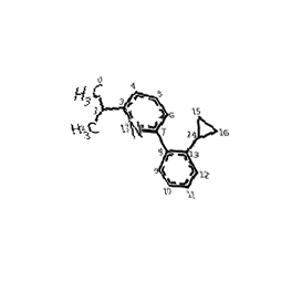 CC(C)c1cccc(-c2ccccc2C2CC2)n1